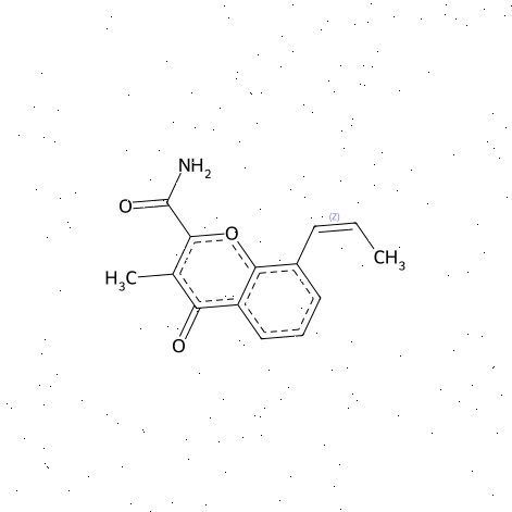 C/C=C\c1cccc2c(=O)c(C)c(C(N)=O)oc12